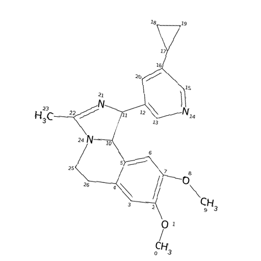 COc1cc2c(cc1OC)C1C(c3cncc(C4CC4)c3)N=C(C)N1CC2